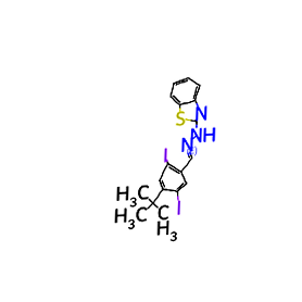 CC(C)(C)c1cc(I)c(/C=N/Nc2nc3ccccc3s2)cc1I